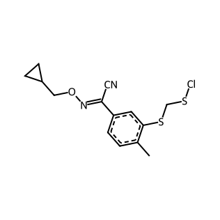 Cc1ccc(/C(C#N)=N/OCC2CC2)cc1SCSCl